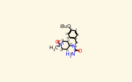 CC(C)COc1ccc(CN(C(N)=O)C2CC[N+](C)([O-])CC2)cc1